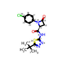 CC(C)(C)c1nnc(NC(=O)[C@@H]2CC(=O)N2c2ccc(Cl)cc2)s1